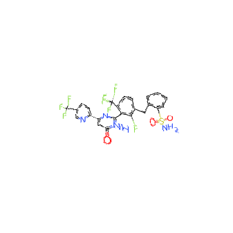 NS(=O)(=O)c1ccccc1Cc1ccc(C(F)(F)F)c(-c2nc(-c3ccc(C(F)(F)F)cn3)cc(=O)[nH]2)c1F